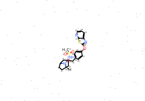 CS(=O)(=O)N[C@@H]1CC2CC[C@@H](C1)N2CCc1ccc(Oc2nc3cccnc3s2)cc1